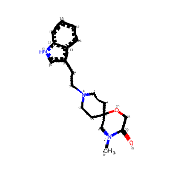 CN1CC2(CCN(CCc3c[nH]c4ccccc34)CC2)OCC1=O